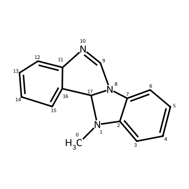 CN1c2ccccc2N2C=Nc3ccccc3C12